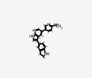 CNc1ccc(-c2cnc3[nH]cc(-c4ccc5c(c4)CCN5)c3c2)cn1